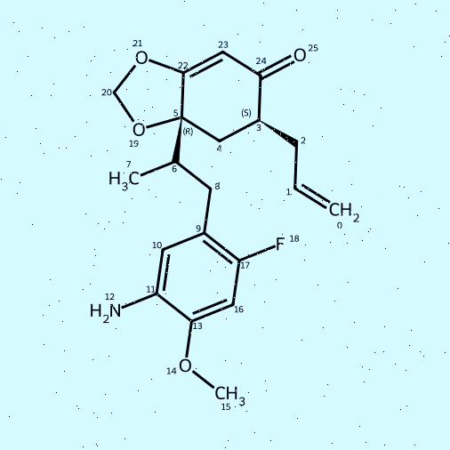 C=CC[C@H]1C[C@]2(C(C)Cc3cc(N)c(OC)cc3F)OCOC2=CC1=O